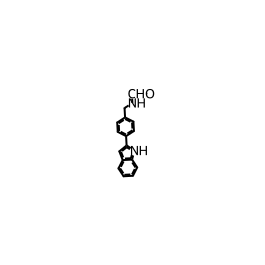 O=[C]NCc1ccc(-c2cc3ccccc3[nH]2)cc1